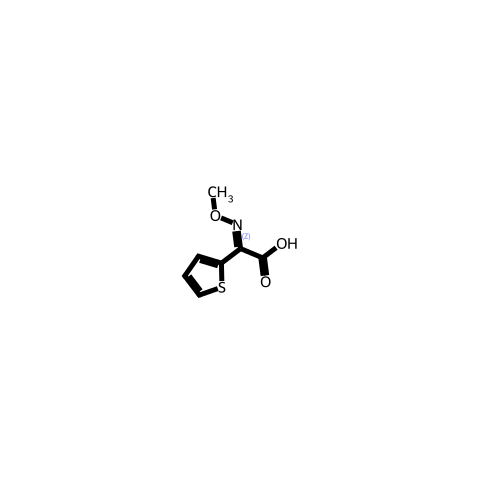 CO/N=C(/C(=O)O)c1cccs1